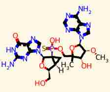 CO[C@H]1[C@H](n2cnc3c(N)ncnc32)OC(C)(COP(O)(=S)[C@@]23C[C@H]2[C@@H](CO)O[C@H]3n2cnc3c(=O)[nH]c(N)nc32)[C@H]1O